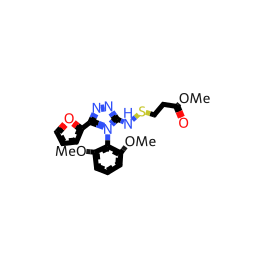 COC(=O)CCSNc1nnc(-c2ccco2)n1-c1c(OC)cccc1OC